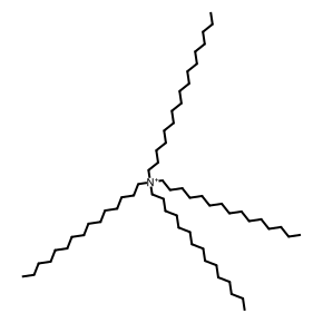 CCCCCCCCCCCCCCCCC[N+](CCCCCCCCCCCCCCC)(CCCCCCCCCCCCCCC)CCCCCCCCCCCCCCC